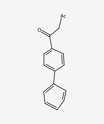 CC(=O)CC(=O)c1ccc(-c2ccccc2)cc1